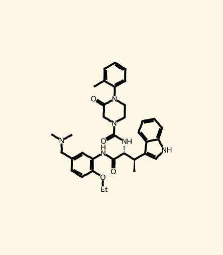 CCOc1ccc(CN(C)C)cc1NC(=O)[C@H](NC(=O)N1CCN(c2ccccc2C)C(=O)C1)[C@H](C)c1c[nH]c2ccccc12